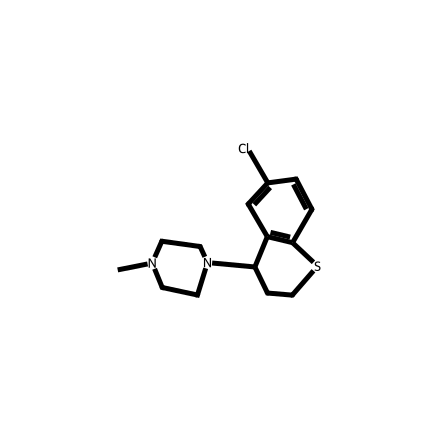 CN1CCN(C2CCSc3ccc(Cl)cc32)CC1